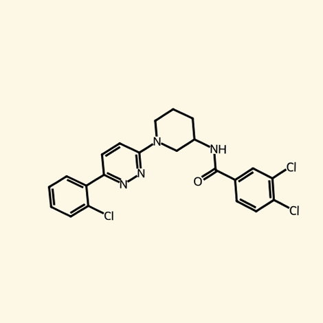 O=C(NC1CCCN(c2ccc(-c3ccccc3Cl)nn2)C1)c1ccc(Cl)c(Cl)c1